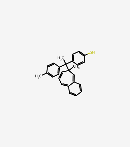 Cc1ccc(C(C)(c2ccc(S)cc2)C2(C)C=CC=c3ccccc3=C2)cc1